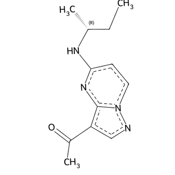 CC[C@@H](C)Nc1ccn2ncc(C(C)=O)c2n1